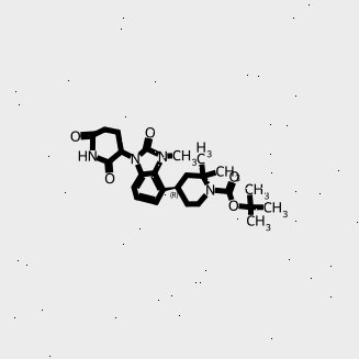 Cn1c(=O)n(C2CCC(=O)NC2=O)c2cccc([C@@H]3CCN(C(=O)OC(C)(C)C)C(C)(C)C3)c21